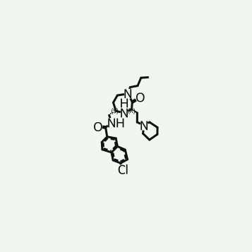 CCCCN1CC[C@@H](CNC(=O)c2ccc3cc(Cl)ccc3c2)N[C@H](CCN2CCCCC2)C1=O